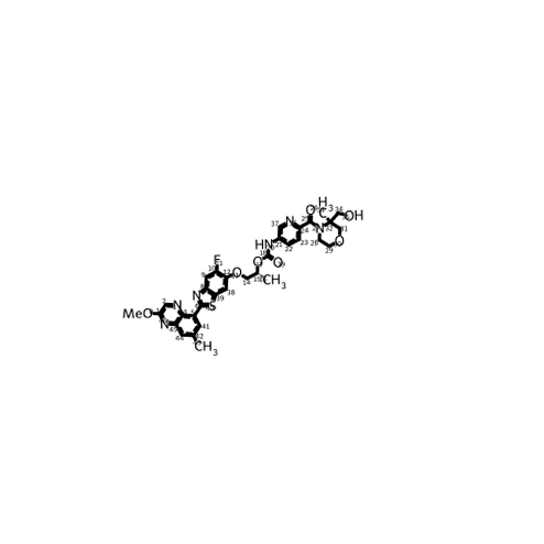 COc1cnc2c(-c3nc4cc(F)c(OC[C@@H](C)OC(=O)Nc5ccc(C(=O)N6CCOCC6(C)CO)nc5)cc4s3)cc(C)cc2n1